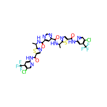 CC(NC(=O)c1cc(C(=O)NC(C)c2ncc(C(=O)Nc3cc(C(F)(F)F)c(Cl)cn3)s2)ncn1)c1ncc(C(=O)Nc2cc(C(F)(F)F)c(Cl)cn2)s1